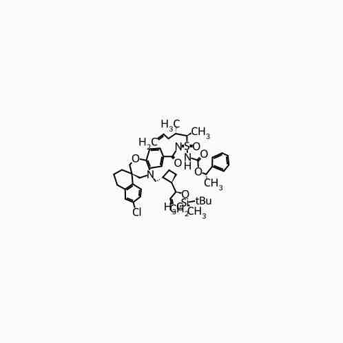 C=CC[C@H](C)[C@@H](C)S(=O)(=NC(=O)c1ccc2c(c1)N(C[C@@H]1CC[C@H]1[C@H](C=C)O[Si](C)(C)C(C)(C)C)C[C@@]1(CCCc3cc(Cl)ccc31)CO2)NC(=O)O[C@@H](C)c1ccccc1